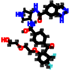 O=C(N[C@@H]1CNC[C@H]1NC(=O)c1ccc2cn[nH]c2c1)c1ccc(C(=O)c2c(OCCOCCO)ccc(F)c2F)cc1